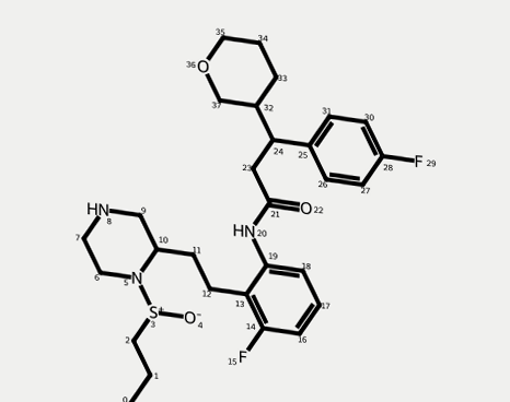 CCC[S+]([O-])N1CCNCC1CCc1c(F)cccc1NC(=O)CC(c1ccc(F)cc1)C1CCCOC1